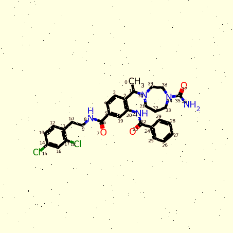 CC(c1ccc(C(=O)NCCc2ccc(Cl)cc2Cl)cc1NC(=O)c1ccccc1)N1CCCN(C(N)=O)CC1